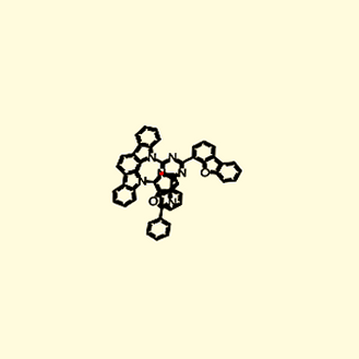 c1ccc(-c2nc(-c3cccc4c3oc3ccccc34)nc(-n3c4ccccc4c4ccc5c6ccccc6n(-c6cccc7nc(-c8ccccc8)oc67)c5c43)n2)cc1